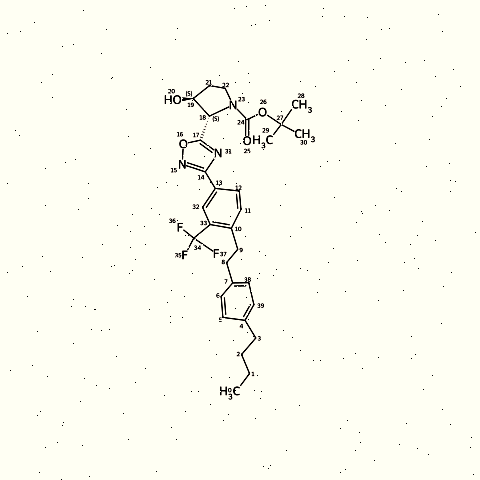 CCCCc1ccc(CCc2ccc(-c3noc([C@@H]4[C@@H](O)CCN4C(=O)OC(C)(C)C)n3)cc2C(F)(F)F)cc1